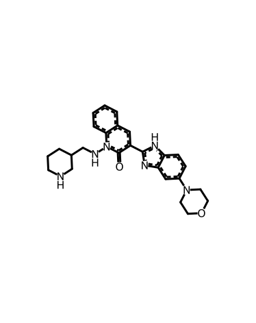 O=c1c(-c2nc3cc(N4CCOCC4)ccc3[nH]2)cc2ccccc2n1NCC1CCCNC1